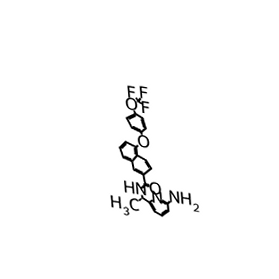 C[C@@H](NC(=O)c1ccc2c(Oc3ccc(OC(F)(F)F)cc3)cccc2c1)c1cccc(N)n1